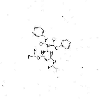 O=C(Oc1ccccc1)N(C(=O)Oc1ccccc1)c1nc(OC(F)F)cc(OC(F)F)n1